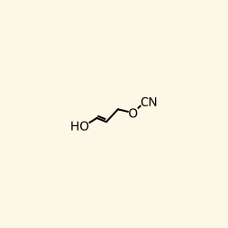 N#COCC=CO